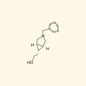 OCC[C@@H]1[C@H]2CN(Cc3ccccc3)C[C@@H]12